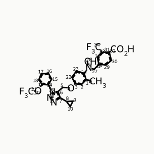 Cc1cc(OCc2c(C3CC3)nnn2-c2ccccc2OC(F)(F)F)ccc1N(C)Cc1ccc(C(=O)O)c(C(F)(F)F)c1